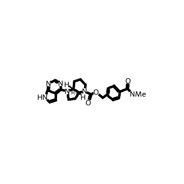 CNC(=O)c1ccc(COC(=O)N2CCC[C@@H]3[C@H]2CCN3c2ncnc3[nH]ccc23)cc1